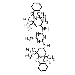 CC1(C)CC(Nc2nc(N)nc(NC3CC(C)(C)N(OC4CCCCC4)C(C)(C)C3)n2)CC(C)(C)N1OC1CCCCC1